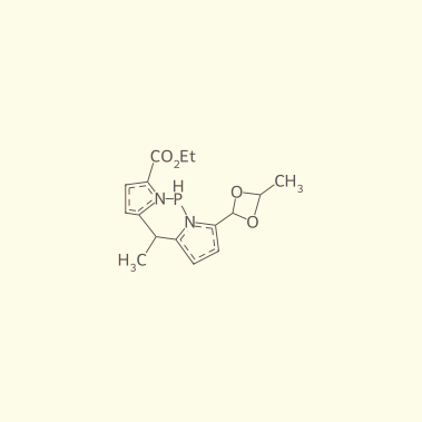 CCOC(=O)c1ccc2n1Pn1c(C3OC(C)O3)ccc1C2C